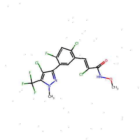 CONC(=O)C(Cl)=Cc1cc(-c2nn(C)c(C(F)(F)F)c2Cl)c(F)cc1Cl